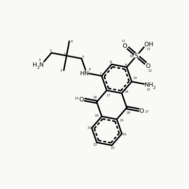 CC(C)(CN)CNc1cc(S(=O)(=O)O)c(N)c2c1C(=O)c1ccccc1C2=O